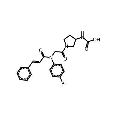 O=C(O)NC1CCN(C(=O)CN(C(=O)C=Cc2ccccc2)c2ccc(Br)cc2)C1